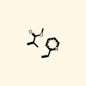 C=C(C)C(=O)OC.C=Cc1ccccn1